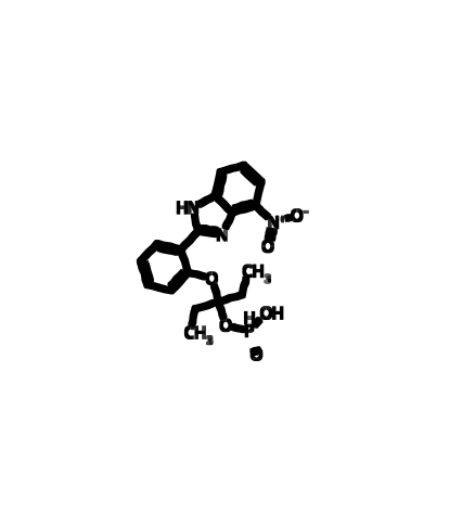 CCC(CC)(Oc1ccccc1-c1nc2c([N+](=O)[O-])cccc2[nH]1)O[PH](=O)O